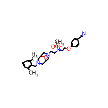 Cc1cccc(C)c1CN1CC2CN(CCN(CCOc3ccc(C#N)cc3)S(C)(=O)=O)CC(C1)O2